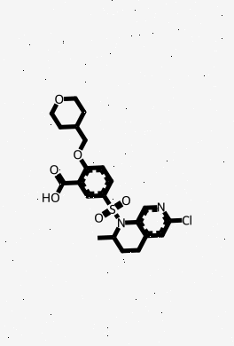 CC1CCc2cc(Cl)ncc2N1S(=O)(=O)c1ccc(OCC2CCOCC2)c(C(=O)O)c1